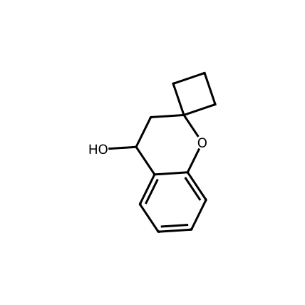 OC1CC2(CCC2)Oc2ccccc21